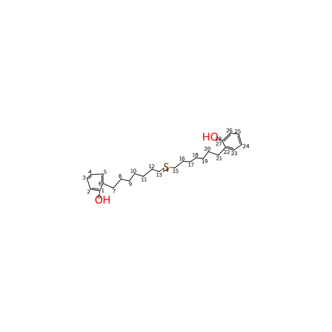 Oc1ccccc1CCCCCCCSCCCCCCCc1ccccc1O